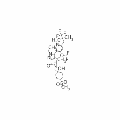 CCn1nc(C(=O)NC[C@]2(O)CC[C@@H](S(C)(=O)=O)CC2)c(C)c1-c1cnc(CC(C)(C)C(F)(F)F)cc1OC(F)F